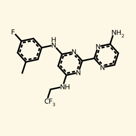 Cc1cc(F)cc(Nc2cc(NCC(F)(F)F)nc(-c3nccc(N)n3)n2)c1